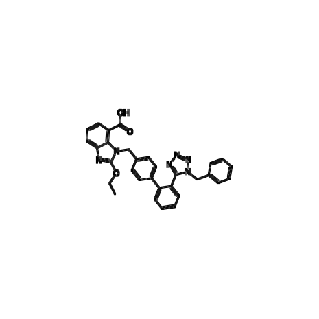 CCOc1nc2cccc(C(=O)O)c2n1Cc1ccc(-c2ccccc2-c2nnnn2Cc2ccccc2)cc1